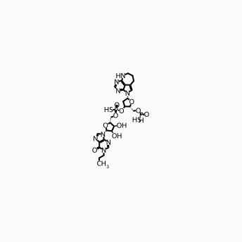 CCCn1cnc2c(ncn2[C@@H]2O[C@H](COP(=O)(S)OC3C[C@H](n4cc5c6c(ncnc64)NCCC5)O[C@@H]3CO[PH](=O)S)[C@@H](O)[C@H]2O)c1=O